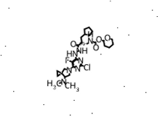 CN(C)C1CN(c2nc(Cl)nc(NNC(=O)[C@@H](CNC(=O)OC3CCCCO3)CC3CCCC3)c2F)CC12CC2